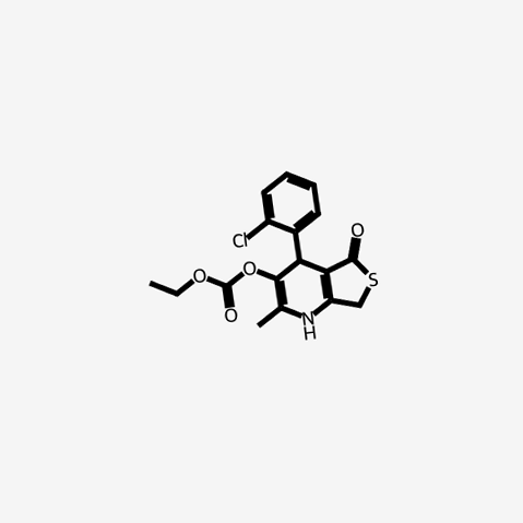 CCOC(=O)OC1=C(C)NC2=C(C(=O)SC2)C1c1ccccc1Cl